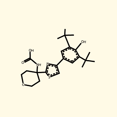 CC(C)(C)c1cc(-c2csc(C3(NC(=O)O)CCOCC3)n2)cc(C(C)(C)C)c1O